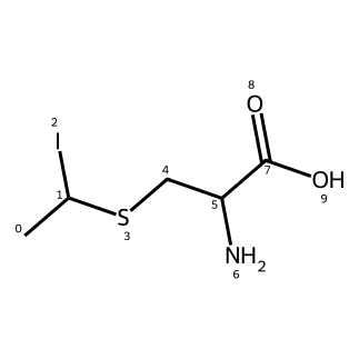 CC(I)SCC(N)C(=O)O